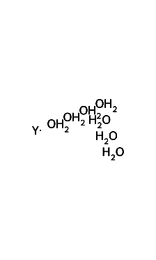 O.O.O.O.O.O.O.[Y]